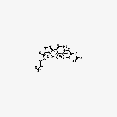 CC(=O)O[C@H]1CC[C@@]2(C)[C@@H](CC=C3C4=CC[C@H]([C@H](C)CCCC(C)C)[C@@]4(C)CC[C@@H]32)C1